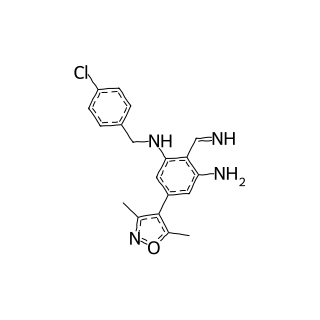 Cc1noc(C)c1-c1cc(N)c(C=N)c(NCc2ccc(Cl)cc2)c1